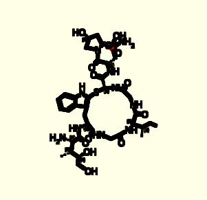 CC[C@H](C)[C@@H]1NC(=O)CNC(=O)[C@@H](NC(=O)[C@@H](N)[C@@H](C)[C@@H](O)CO)Cc2c([nH]c3ccccc23)S[C@@H](C(=O)N[C@@H](CC(N)=O)C(=O)N2C[C@H](O)C[C@H]2C(=O)O)NC(=O)CNC1=O